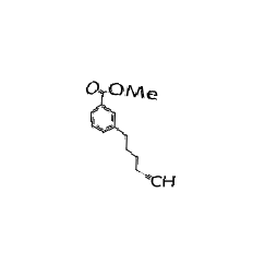 C#CCCCCc1cccc(C(=O)OC)c1